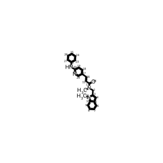 CN(Cc1cc2ccccc2n1C)C(=O)C=Cc1ccc(Nc2ccccc2)nc1